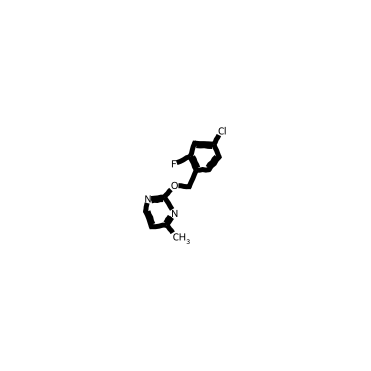 Cc1ccnc(OCc2ccc(Cl)cc2F)n1